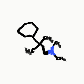 CN(C)CC(C)(C)C1CCCCC1